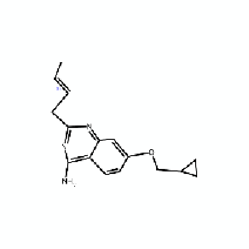 C/C=C/Cc1nc(N)c2ccc(OCC3CC3)cc2n1